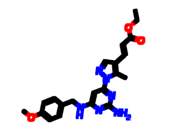 CCOC(=O)/C=C/c1cnn(-c2cc(NCc3ccc(OC)cc3)nc(N)n2)c1C